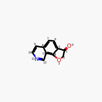 O=C1COc2c1ccc1ccncc21